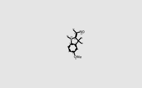 COc1ccc2c(c1)C(C)(C)C(=C(C)N=O)N2C